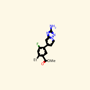 CCc1cc(F)c(-c2ccn3nc(N)nc3c2)cc1C(=O)OC